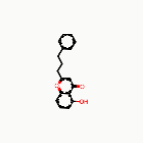 O=c1cc(CCCc2ccccc2)oc2cccc(O)c12